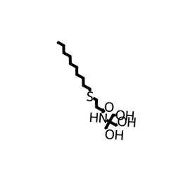 CCCCCCCCCCSCCC(=O)NC(CO)(CO)CO